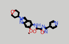 COc1cc2nn(C3CCOCC3)cc2cc1NC(=O)c1nc(-c2ccncc2)no1